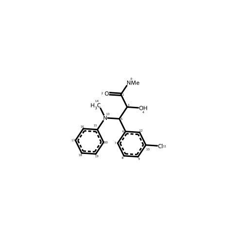 CNC(=O)C(O)C(c1cccc(Cl)c1)N(C)c1ccccc1